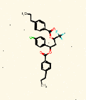 CCCc1ccc(C(=O)OC(CC(OC(=O)c2ccc(CCC)cc2)C(F)(F)F)c2ccc(Cl)cc2)cc1